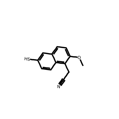 COc1ccc2cc(S)ccc2c1CC#N